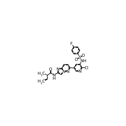 C=C[C@@H](C)C(=O)Nc1cn2nc(-c3cnc(Cl)c(NS(=O)(=O)c4ccc(F)cc4)c3)ccc2n1